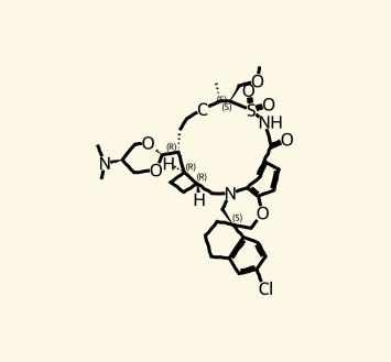 COC[C@@H]1[C@@H](C)CCC[C@@H]([C@H]2OC[C@H](N(C)C)CO2)[C@@H]2CC[C@H]2CN2C[C@@]3(CCCc4cc(Cl)ccc43)COc3ccc(cc32)C(=O)NS1(=O)=O